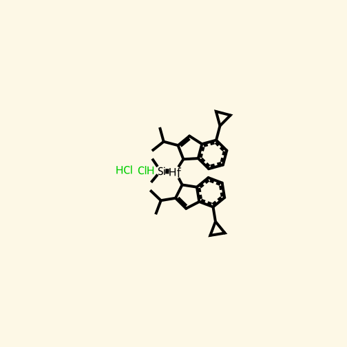 CC(C)C1=Cc2c(C3CC3)cccc2[CH]1[Hf]([CH]1C(C(C)C)=Cc2c(C3CC3)cccc21)=[Si](C)C.Cl.Cl